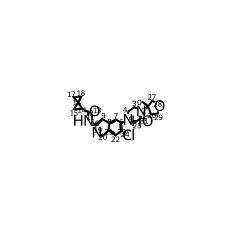 CC1(N2CCN(c3cc4cc(NC(=O)C5CC56CC6)ncc4cc3Cl)CC2)COCC1O